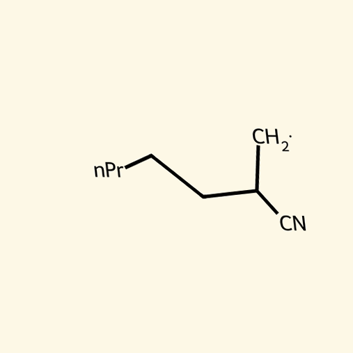 [CH2]C(C#N)CCCCC